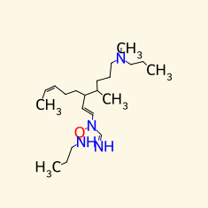 C/C=C\CCC(/C=C/N(C=N)ONCCC)C(C)CCCN(C)CCC